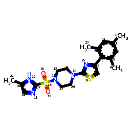 Cc1cc(C)c(-c2csc(N3CCN(S(=O)(=O)c4ncc(C)[nH]4)CC3)n2)c(C)c1